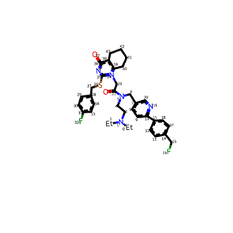 CCN(CC)CCN(Cc1ccc(-c2ccc(CF)cc2)nc1)C(=O)Cn1c(SCc2ccc(F)cc2)nc(=O)c2c1CCCC2